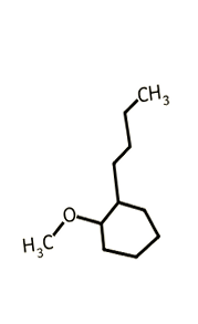 CCCCC1CCCCC1OC